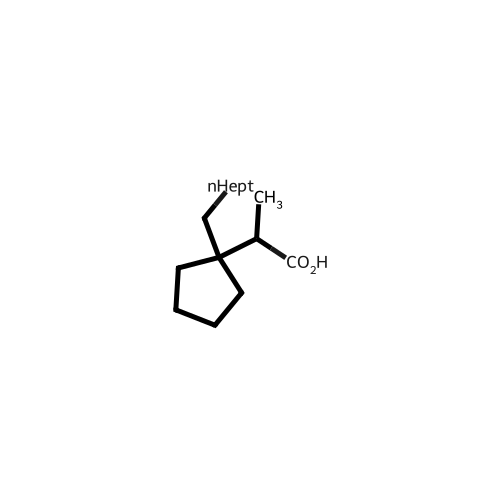 CCCCCCCCC1(C(C)C(=O)O)CCCC1